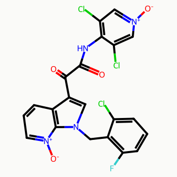 O=C(Nc1c(Cl)c[n+]([O-])cc1Cl)C(=O)c1cn(Cc2c(F)cccc2Cl)c2c1ccc[n+]2[O-]